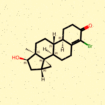 C[C@]12CC[C@H]3[C@@H](CCC4=C(Br)C(=O)CC[C@@H]43)[C@]13C[C@@H]3C[C@H]2O